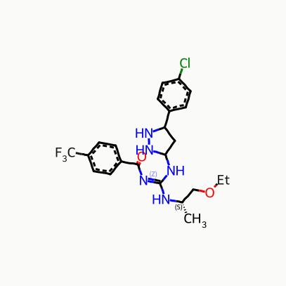 CCOC[C@H](C)N/C(=N/C(=O)c1ccc(C(F)(F)F)cc1)NC1CC(c2ccc(Cl)cc2)NN1